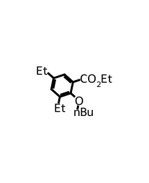 CCCCOc1c(CC)cc(CC)cc1C(=O)OCC